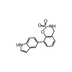 O=S1(=O)NCc2cccc(-c3ccc4[nH]ccc4c3)c2O1